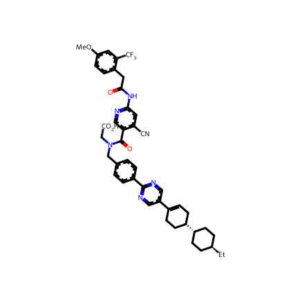 CC[C@H]1CC[C@H](C2CC=C(c3cnc(-c4ccc(CN(CC(=O)O)C(=O)c5cnc(NC(=O)Cc6ccc(OC)cc6C(F)(F)F)cc5C#N)cc4)nc3)CC2)CC1